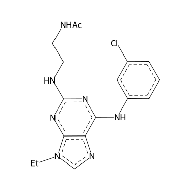 CCn1cnc2c(Nc3cccc(Cl)c3)nc(NCCNC(C)=O)nc21